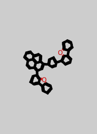 c1cc2ccc3c(-c4ccc(-c5cccc6c5oc5ccccc56)cc4)cc(-c4cccc5c4oc4ccccc45)c4ccc(c1)c2c34